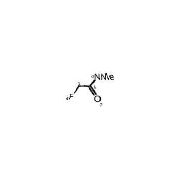 [CH2]NC(=O)CF